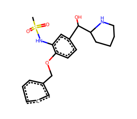 CS(=O)(=O)Nc1cc(C(O)C2CCCCN2)ccc1OCc1ccccc1